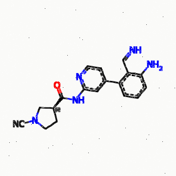 N#CN1CC[C@H](C(=O)Nc2cc(-c3cccc(N)c3C=N)ccn2)C1